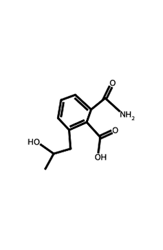 CC(O)Cc1cccc(C(N)=O)c1C(=O)O